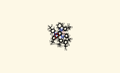 CC(C)(C)c1ccc(N(c2ccc(C(C)(C)C)cc2)c2cc3c4c(c2)N2c5c(cc(C(C)(C)C)cc5C5(C)CCCCC25C)B4c2ccc4c(c2N3c2ccc(C(C)(C)C)cc2-c2ccccc2)-c2ccc(C(C)(C)C)cc2C4(C)C)cc1